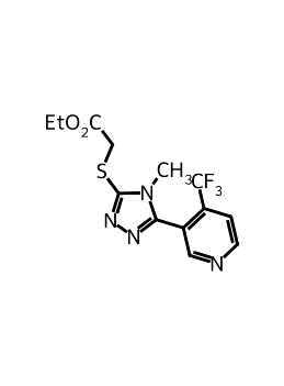 CCOC(=O)CSc1nnc(-c2cnccc2C(F)(F)F)n1C